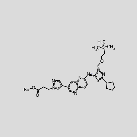 CC(C)(C)OC(=O)CCn1cc(-c2cnc3ccc(/N=c4\sc(C5CCCC5)nn4COCC[Si](C)(C)C)nc3c2)cn1